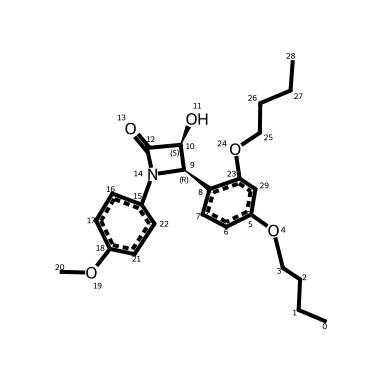 CCCCOc1ccc([C@@H]2[C@H](O)C(=O)N2c2ccc(OC)cc2)c(OCCCC)c1